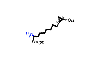 CCCCCCCC[C@@H]1C[C@@H]1CCCCCCCC(N)CCCCCCC